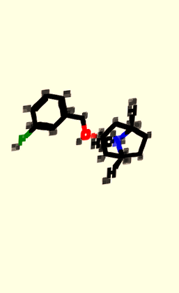 CN1[C@@H]2CC[C@H]1C[C@@H](OCc1cccc(F)c1)C2